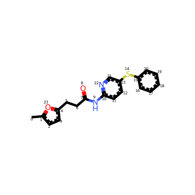 Cc1ccc(CCC(=O)Nc2ccc(Sc3ccccc3)cn2)o1